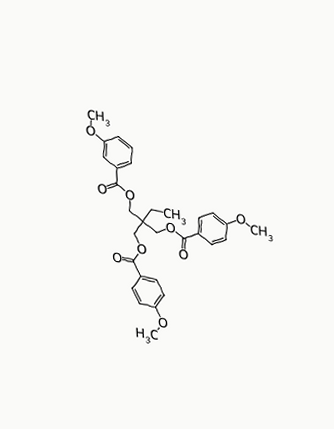 CCC(COC(=O)c1ccc(OC)cc1)(COC(=O)c1ccc(OC)cc1)COC(=O)c1cccc(OC)c1